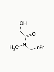 CCCCN(C)C(=O)CO